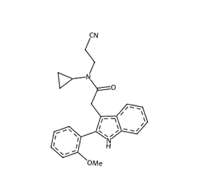 COc1ccccc1-c1[nH]c2ccccc2c1CC(=O)N(CCC#N)C1CC1